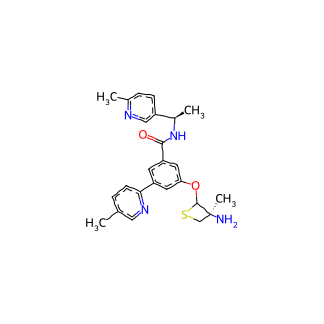 Cc1ccc(-c2cc(OC3SC[C@]3(C)N)cc(C(=O)N[C@H](C)c3ccc(C)nc3)c2)nc1